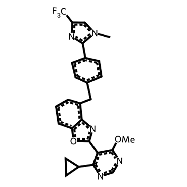 COc1ncnc(C2CC2)c1-c1nc2c(Cc3ccc(-c4nc(C(F)(F)F)cn4C)cc3)cccc2o1